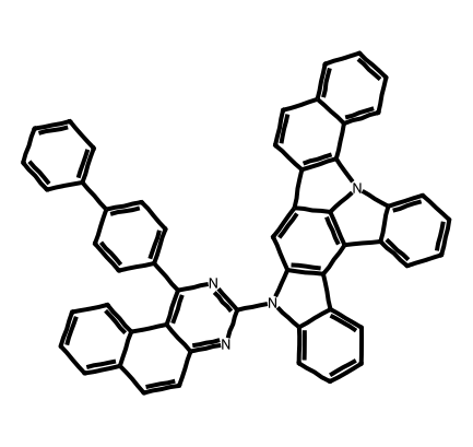 c1ccc(-c2ccc(-c3nc(-n4c5ccccc5c5c6c7ccccc7n7c8c9ccccc9ccc8c(cc54)c67)nc4ccc5ccccc5c34)cc2)cc1